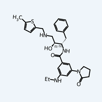 CCNc1cc(C(=O)N[C@@H](Cc2ccccc2)[C@@H](O)CNCc2ccc(C)s2)cc(N2CCCC2=O)c1